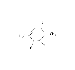 CC1=CC(F)C(C)C(F)=C1F